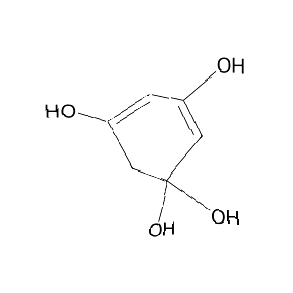 OC1=CC(O)(O)CC(O)=C1